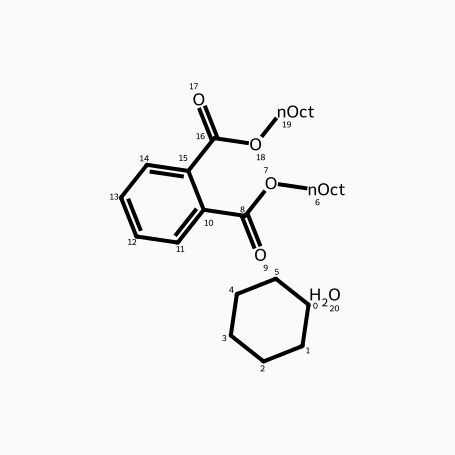 C1CCCCC1.CCCCCCCCOC(=O)c1ccccc1C(=O)OCCCCCCCC.O